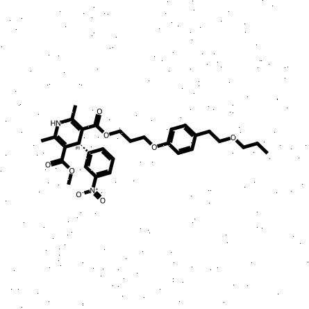 CCCOCCc1ccc(OCCCOC(=O)C2=C(C)NC(C)=C(C(=O)OC)[C@H]2c2cccc([N+](=O)[O-])c2)cc1